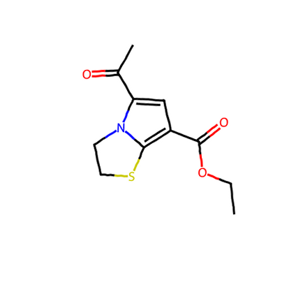 CCOC(=O)c1cc(C(C)=O)n2c1SCC2